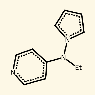 CCN(c1ccncc1)n1cccc1